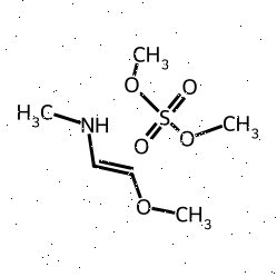 CNC=COC.COS(=O)(=O)OC